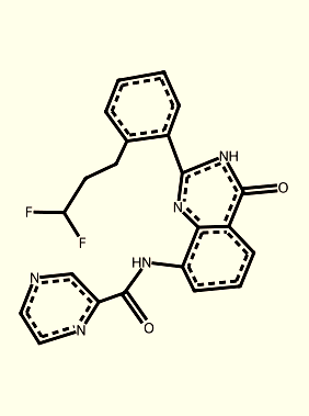 O=C(Nc1cccc2c(=O)[nH]c(-c3ccccc3CCC(F)F)nc12)c1cnccn1